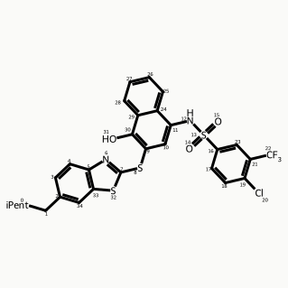 CCCC(C)Cc1ccc2nc(Sc3cc(NS(=O)(=O)c4ccc(Cl)c(C(F)(F)F)c4)c4ccccc4c3O)sc2c1